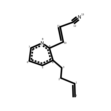 C=CCCc1cccnc1C=CC#N